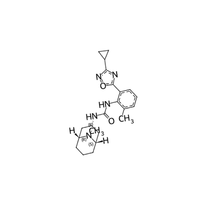 Cc1cccc(-c2nc(C3CC3)no2)c1NC(=O)N[C@H]1C[C@H]2CCC[C@@H](C1)N2C